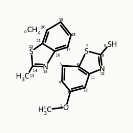 C.COc1ccc2sc(S)nc2c1.Cc1nc2ccccc2s1